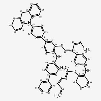 C=C/C=C\C=C(/C)CC1=C(Nc2ccc(C(/C=C\C)=C/Cc3cc(-c4ccc(N5C6=C(CCC=C6)Cc6ccccc65)cc4)ccc3Nc3ccc(-c4ccccc4)cc3)cc2)C=CCC1